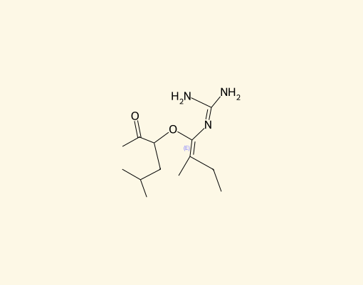 CC/C(C)=C(\N=C(N)N)OC(CC(C)C)C(C)=O